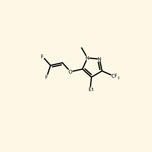 CCc1c(C(F)(F)F)nn(C)c1OC=C(F)F